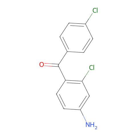 Nc1ccc(C(=O)c2ccc(Cl)cc2)c(Cl)c1